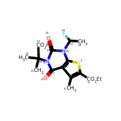 CCOC(=O)c1sc2c(c1C)c(=O)n(C(C)(C)C(=O)O)c(=O)n2C(C)F